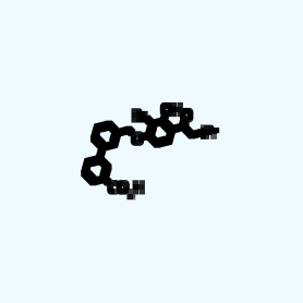 CC(C)CC(=O)c1ccc(OCc2cccc(-c3cccc(C(=O)O)c3)c2)c(Br)c1O